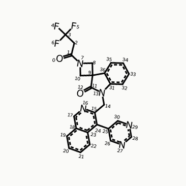 O=C(CC(F)(F)F)N1CC2(C1)C(=O)N(Cc1ncc3ccccc3c1-c1cncnc1)c1ccccc12